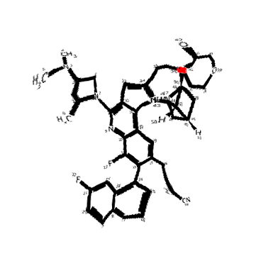 CC1C(N(C)C)CN1c1nc2c(F)c(-c3cccc4ccc(F)cc34)c(CCC#N)cc2c2c1cc(CN1CCOCC1=O)n2[C@H]1[C@H]2CN[C@@H]1C2